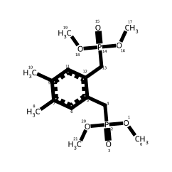 COP(=O)(Cc1cc(C)c(C)cc1CP(=O)(OC)OC)OC